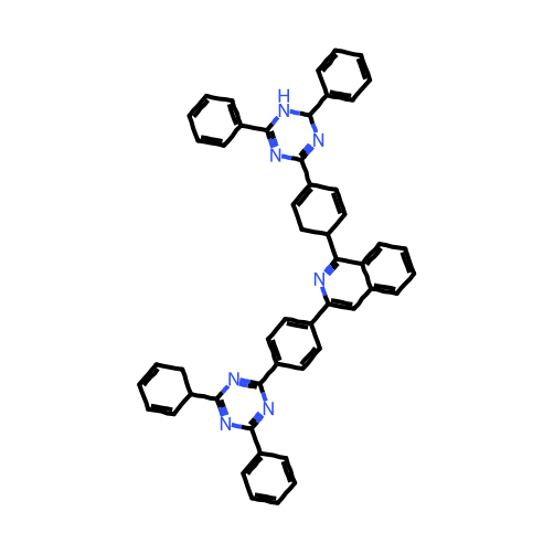 C1=CCC(c2nc(-c3ccccc3)nc(-c3ccc(-c4cc5ccccc5c(C5C=CC(C6=NC(c7ccccc7)NC(c7ccccc7)=N6)=CC5)n4)cc3)n2)C=C1